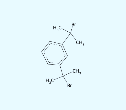 CC(C)(Br)c1cccc(C(C)(C)Br)c1